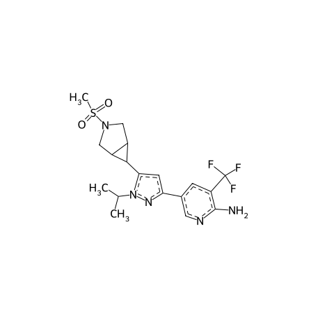 CC(C)n1nc(-c2cnc(N)c(C(F)(F)F)c2)cc1C1C2CN(S(C)(=O)=O)CC21